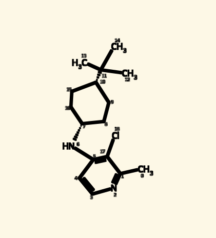 Cc1nccc(N[C@H]2CC[C@@H](C(C)(C)C)CC2)c1Cl